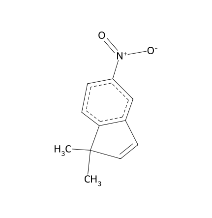 CC1(C)C=Cc2cc([N+](=O)[O-])ccc21